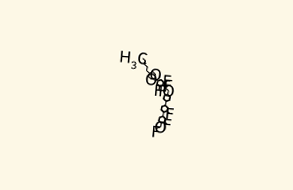 C/C=C/CCC1COC(c2cc(F)c(C(F)(F)Oc3ccc(-c4ccc(-c5ccc(OCF)c(F)c5)c(F)c4)cc3)c(F)c2)OC1